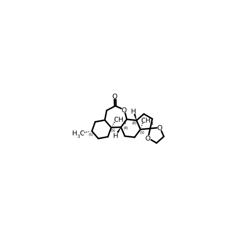 C[C@H]1CC[C@@]2(C)C(CC(=O)OC3[C@@H]2CC[C@@]2(C)[C@H]3CCC23OCCO3)C1